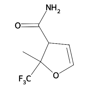 CC1(C(F)(F)F)OC=CC1C(N)=O